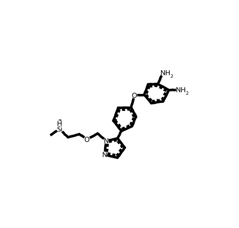 C[SiH](C)CCOCn1nccc1-c1ccc(Oc2ccc(N)c(N)c2)cc1